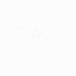 CCCCCOc1ccc(OP(=S)(OCC)OCC)nn1